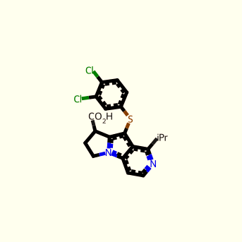 CC(C)c1nccc2c1c(Sc1ccc(Cl)c(Cl)c1)c1n2CCC1C(=O)O